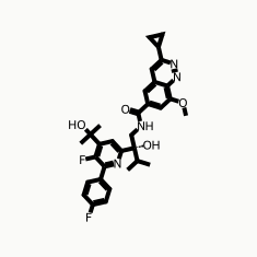 COc1cc(C(=O)NC[C@](O)(c2cc(C(C)(C)O)c(F)c(-c3ccc(F)cc3)n2)C(C)C)cc2cc(C3CC3)nnc12